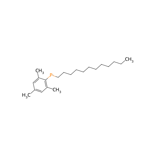 CCCCCCCCCCCC[P]c1c(C)cc(C)cc1C